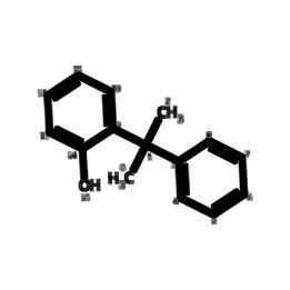 CC(C)(c1ccccc1)c1ccccc1O